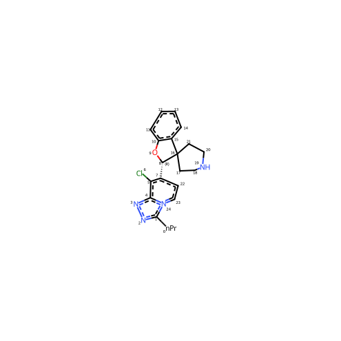 CCCc1nnc2c(Cl)c([C@@H]3Oc4ccccc4C34CCNCC4)ccn12